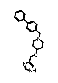 c1ccc(-c2ccc(CN3CCC(OCc4c[nH]cn4)CC3)cc2)cc1